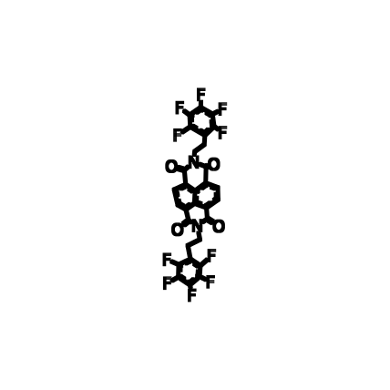 O=C1c2ccc3c4c(ccc(c24)C(=O)N1CCc1c(F)c(F)c(F)c(F)c1F)C(=O)N(CCc1c(F)c(F)c(F)c(F)c1F)C3=O